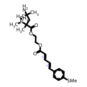 CSc1ccc(/C=C/C=C/C(=O)OCCOC(=O)C(C)(CC(C)(C)N)N(C)C)cc1